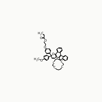 C=CC(=O)OCCOc1ccc(C2(c3ccc(OC)cc3)C=Cc3c4c(c5ccccc5c3O2)-c2ccccc2C42CCCCCCCCCCC2)cc1